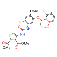 COC(=O)c1scc(NC(=O)Nc2cc(OC3CCOc4ccc(F)c(F)c43)c(OC)cc2F)c1C(=O)OC